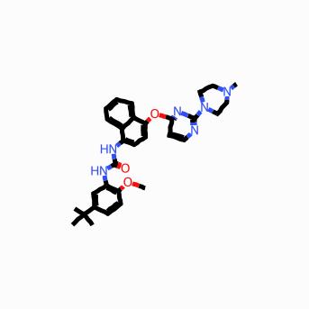 COc1ccc(C(C)(C)C)cc1NC(=O)Nc1ccc(Oc2ccnc(N3CCN(C)CC3)n2)c2ccccc12